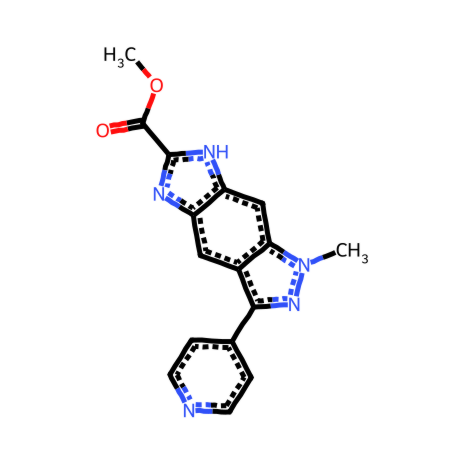 COC(=O)c1nc2cc3c(-c4ccncc4)nn(C)c3cc2[nH]1